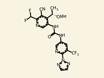 CO[C@@H](C)c1c(NC(=O)Nc2cnc(-n3nccn3)c(C(F)(F)F)c2)cnc(C(F)F)c1C#N